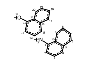 Nc1cccc2ccccc12.Oc1cccc2ccccc12